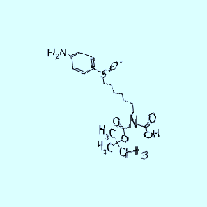 CC(C)(C)OC(=O)N(CCCCCC[S+]([O-])c1ccc(N)cc1)C(=O)O